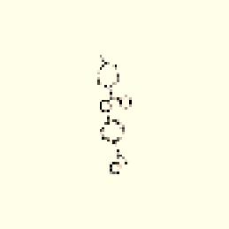 CC1CCC(C(=O)Oc2ccc(C3CO3)cc2)CC1